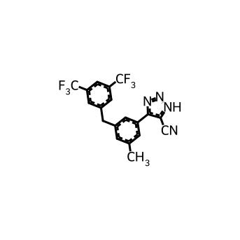 Cc1cc(Cc2cc(C(F)(F)F)cc(C(F)(F)F)c2)cc(-c2nn[nH]c2C#N)c1